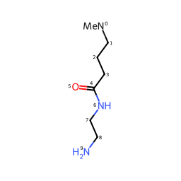 CNCCCC(=O)NCCN